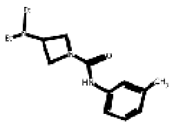 CCN(CC)C1CN(C(=O)Nc2cccc(C)c2)C1